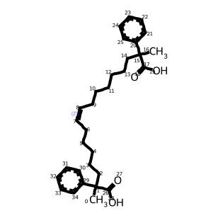 CC(CCCCC/C=C\CCCCCCC(C)(C(=O)O)c1ccccc1)(C(=O)O)c1ccccc1